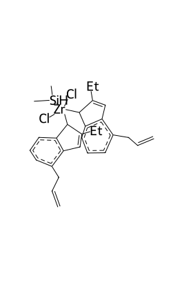 C=CCc1cccc2c1C=C(CC)[CH]2[Zr]([Cl])([Cl])([CH]1C(CC)=Cc2c(CC=C)cccc21)[SiH](C)C